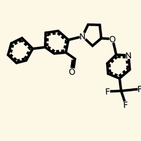 O=Cc1cc(-c2ccccc2)ccc1N1CCC(Oc2ccc(C(F)(F)F)cn2)C1